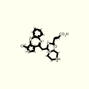 O=C(O)/C=C/C(=O)OC(CC1=Nc2ccccc2Oc2c1csc2Cl)N1CCNCC1